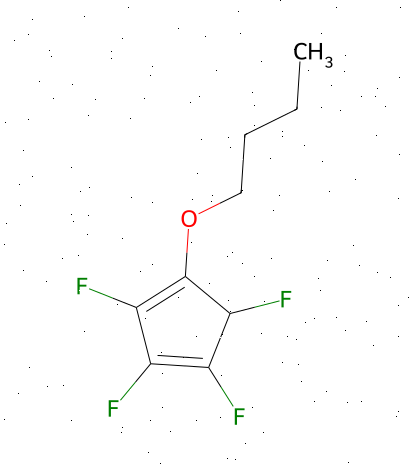 CCCCOC1=C(F)C(F)=C(F)C1F